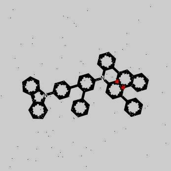 c1ccc(-c2ccc(N(c3ccc(-c4ccc(-n5c6ccccc6c6ccccc65)cc4)c(-c4ccccc4)c3)c3ccccc3-c3ccc4ccccc4c3)cc2)cc1